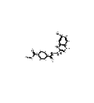 CC(C)(C)OC(=O)N1CCC(C(=O)NNc2cnc3ccc(Br)cc3n2)CC1